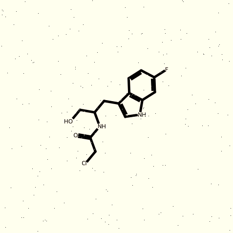 O=C(CCl)NC(CO)Cc1c[nH]c2cc(F)ccc12